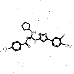 Cc1ccc(-c2cc(N/C(=N\C(=O)c3ccc(C(F)(F)F)cc3)NC3CCCC3)[nH]n2)cc1F